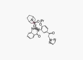 CC(C)Oc1ccc(C(=O)Cn2nccn2)cc1-n1c(CN2CC3CCC(C2)N3C(=O)OC(C)(C)C)nc2ccccc2c1=O